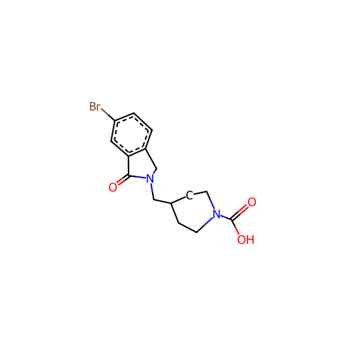 O=C(O)N1CCC(CN2Cc3ccc(Br)cc3C2=O)CC1